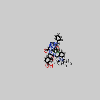 CC(C)N(C)c1cccc(Cl)c1CN1C[C@H]2N(C(=O)CN(C)N2C(=O)NCc2ccccc2)[C@@H](Cc2ccc(O)cc2)C1=O